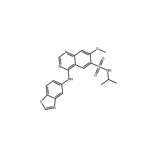 COc1cc2ncnc(Nc3ccc4scnc4c3)c2cc1S(=O)(=O)NC(C)C